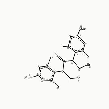 CSc1cc(C)c(C(CBr)C(=O)C(CBr)c2c(C)cc(SC)cc2C)c(C)c1